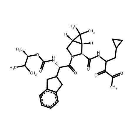 CC(=O)C(=O)C(CC1CC1)NC(=O)[C@@H]1[C@@H]2[C@H](CN1C(=O)[C@@H](NC(=O)O[C@H](C)C(C)C)C1Cc3ccccc3C1)C2(C)C